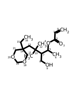 C=CC(=O)OC(C)C(CO)C(C)(C)CC1(CC)COCOC1